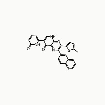 Cc1ccc(-c2nc3[nH]cc(-c4cccc(=O)[nH]4)c(=O)c3nc2-c2ccc3ncccc3c2)s1